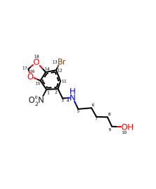 O=[N+]([O-])c1c(CNCCCCCO)cc(Br)c2c1OCO2